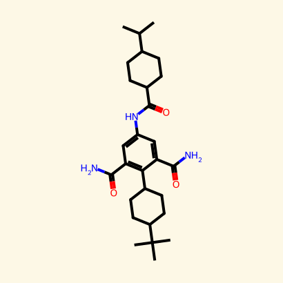 CC(C)C1CCC(C(=O)Nc2cc(C(N)=O)c(C3CCC(C(C)(C)C)CC3)c(C(N)=O)c2)CC1